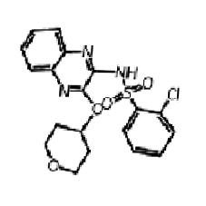 O=S(=O)(Nc1nc2ccccc2nc1OC1CCOCC1)c1ccccc1Cl